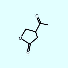 CC(=O)C1COC(=O)C1